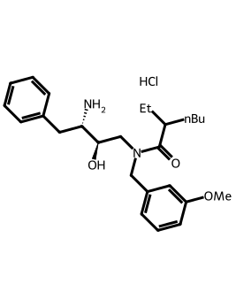 CCCCC(CC)C(=O)N(Cc1cccc(OC)c1)C[C@@H](O)[C@@H](N)Cc1ccccc1.Cl